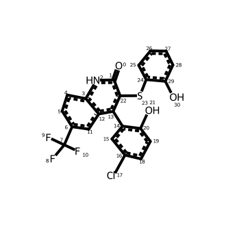 O=c1[nH]c2ccc(C(F)(F)F)cc2c(-c2cc(Cl)ccc2O)c1Sc1ccccc1O